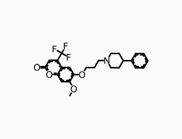 COc1cc2oc(=O)cc(C(F)(F)F)c2cc1OCCCN1CCC(c2ccccc2)CC1